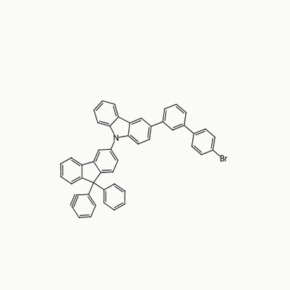 Brc1ccc(-c2cccc(-c3ccc4c(c3)c3ccccc3n4-c3ccc4c(c3)-c3ccccc3C4(c3c#cccc3)c3ccccc3)c2)cc1